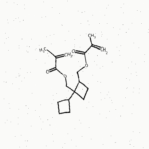 C=C(C)C(=O)OCC1CCC1(COC(=O)C(=C)C)C1CCC1